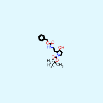 CC(C)(C)OC(=O)N1CCC(O)C1CCNC(=O)OCc1ccccc1